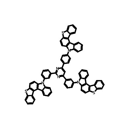 c1cc(-c2cc(-c3ccc(-n4c5ccccc5c5c6c(ccc54)sc4ccccc46)cc3)nc(-c3cccc(-n4c5ccccc5c5c6c(ccc54)sc4ccccc46)c3)n2)cc(-n2c3ccccc3c3c4c(ccc32)sc2ccccc24)c1